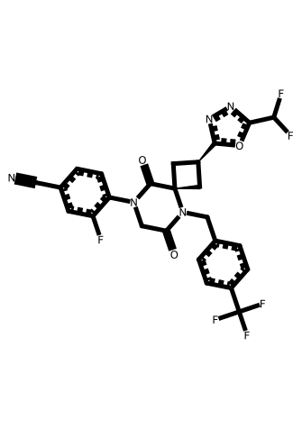 N#Cc1ccc(N2CC(=O)N(Cc3ccc(C(F)(F)F)cc3)[C@]3(C[C@H](c4nnc(C(F)F)o4)C3)C2=O)c(F)c1